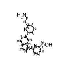 NCCc1cccc(-c2ccc3cnn(-c4cncc(CO)n4)c3c2)n1